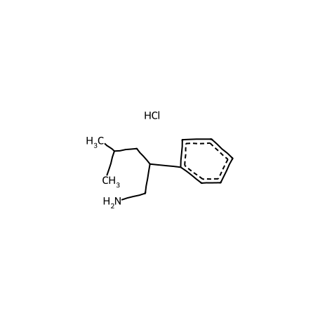 CC(C)CC(CN)c1ccccc1.Cl